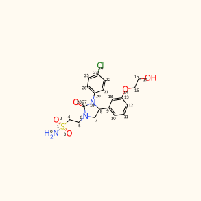 NS(=O)(=O)CCN1CC(c2cccc(OCCO)c2)N(c2ccc(Cl)cc2)C1=O